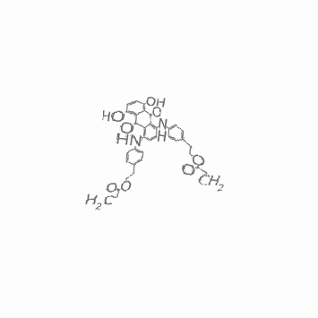 C=CC(=O)OCCc1ccc(Nc2ccc(Nc3ccc(CCOC(=O)C=C)cc3)c3c2C(=O)c2c(O)ccc(O)c2C3=O)cc1